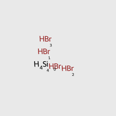 Br.Br.Br.Br.[SiH4]